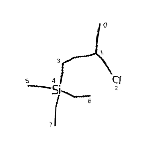 CC(Cl)C[Si](C)(C)C